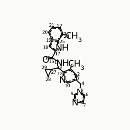 Cc1cc(Cn2ccnc2)cnc1C(NC(=O)c1cc2cccc(C)c2[nH]1)C1CC1